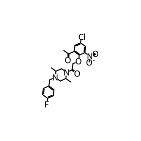 CC(=O)c1cc(Cl)cc([N+](=O)[O-])c1OCC(=O)N1CC(C)N(Cc2ccc(F)cc2)CC1C